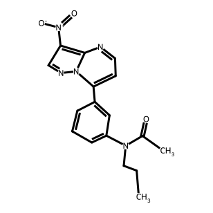 CCCN(C(C)=O)c1cccc(-c2ccnc3c([N+](=O)[O-])cnn23)c1